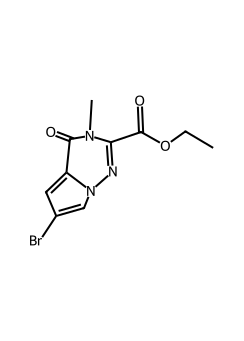 CCOC(=O)c1nn2cc(Br)cc2c(=O)n1C